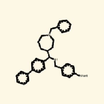 CCCCCc1ccc(CNC(c2ccc(-c3ccccc3)cc2)C2CCCN(Cc3ccccc3)CC2)cc1